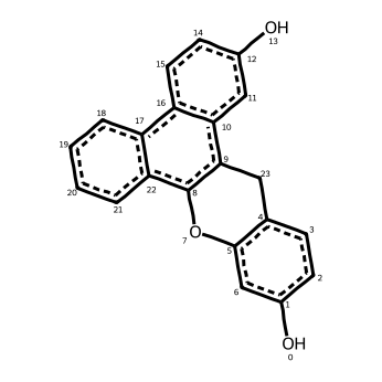 Oc1ccc2c(c1)Oc1c(c3cc(O)ccc3c3ccccc13)C2